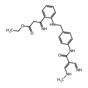 CCOC(=O)CC(=N)c1ccccc1NCc1ccc(NC(=O)/C(C=N)=C/NC)cc1